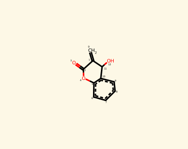 C=C1C(=O)Oc2ccccc2C1O